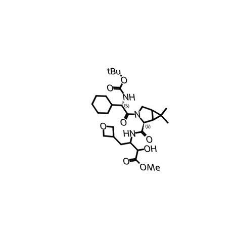 COC(=O)C(O)C(CC1COC1)NC(=O)[C@@H]1C2C(CN1C(=O)[C@@H](NC(=O)OC(C)(C)C)C1CCCCC1)C2(C)C